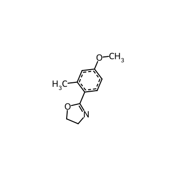 COc1ccc(C2=NCCO2)c(C)c1